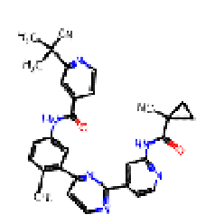 Cc1ccc(NC(=O)c2ccnc(C(C)(C)C#N)c2)cc1-c1ccnc(-c2ccnc(NC(=O)C3(C#N)CC3)c2)n1